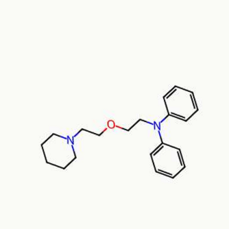 c1ccc(N(CCOCCN2CCCCC2)c2ccccc2)cc1